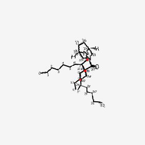 CCCCCCCC(CCCCC)CN1[C@@H]2CC[C@H]1CN(C(=O)CCCC(C)CCCCC)C2